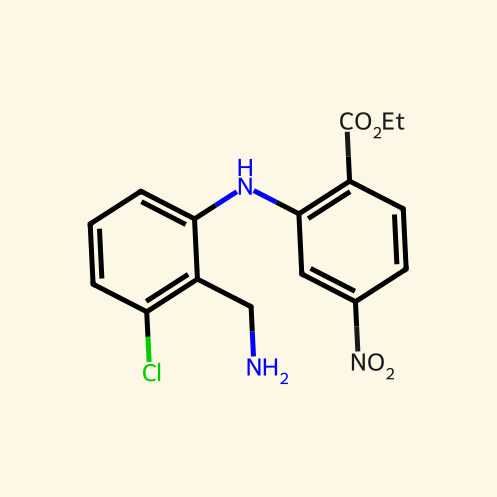 CCOC(=O)c1ccc([N+](=O)[O-])cc1Nc1cccc(Cl)c1CN